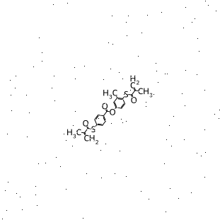 C=C(C)C(=O)Sc1ccc(C(=O)Oc2ccc(SC(=O)C(=C)C)c(C)c2)cc1